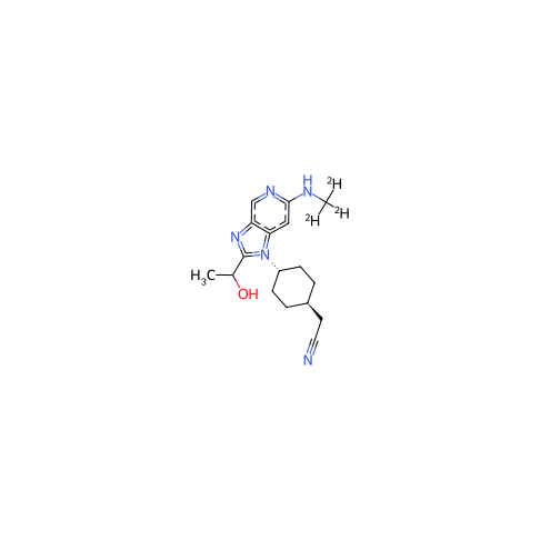 [2H]C([2H])([2H])Nc1cc2c(cn1)nc(C(C)O)n2[C@H]1CC[C@H](CC#N)CC1